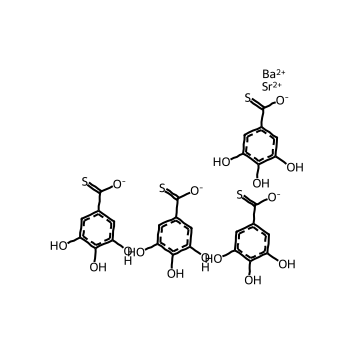 [Ba+2].[O-]C(=S)c1cc(O)c(O)c(O)c1.[O-]C(=S)c1cc(O)c(O)c(O)c1.[O-]C(=S)c1cc(O)c(O)c(O)c1.[O-]C(=S)c1cc(O)c(O)c(O)c1.[Sr+2]